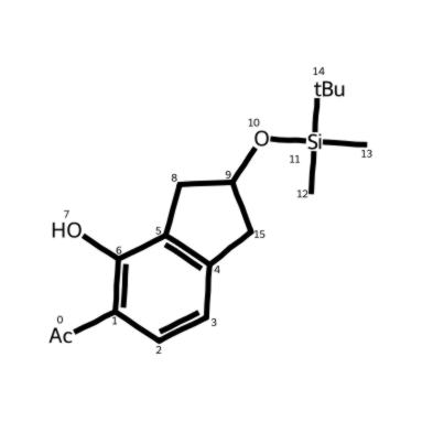 CC(=O)c1ccc2c(c1O)CC(O[Si](C)(C)C(C)(C)C)C2